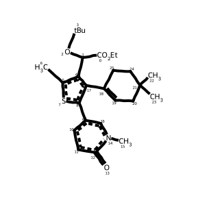 CCOC(=O)C(OC(C)(C)C)c1c(C)sc(-c2ccc(=O)n(C)c2)c1C1=CCC(C)(C)CC1